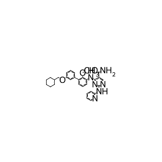 COc1c(Nc2nc(Nc3ccccn3)ncc2C(N)=O)cccc1-c1cccc(OCC2CCCCC2)c1